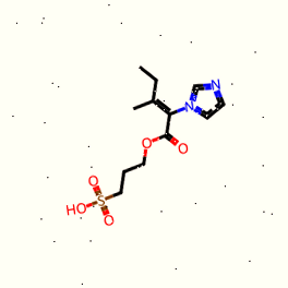 CCC(C)=C(C(=O)OCCCS(=O)(=O)O)n1ccnc1